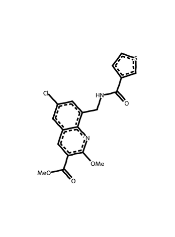 COC(=O)c1cc2cc(Cl)cc(CNC(=O)c3ccsc3)c2nc1OC